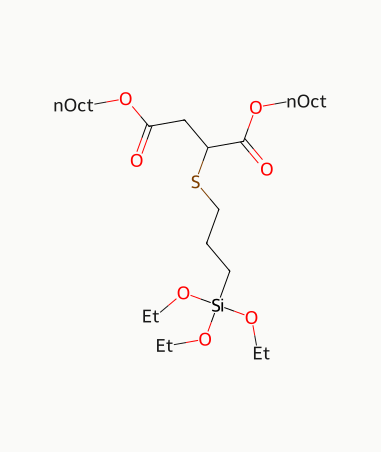 CCCCCCCCOC(=O)CC(SCCC[Si](OCC)(OCC)OCC)C(=O)OCCCCCCCC